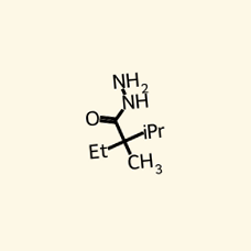 CCC(C)(C(=O)NN)C(C)C